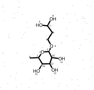 CC1O[C@@H](OCCC(O)O)C(O)C(O)[C@H]1O